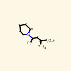 CCC(CC(C)C(=O)O)N1CCCCC1